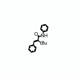 CC(C)(C)/C(=C\c1ccccc1)C(=O)Nc1ccccc1